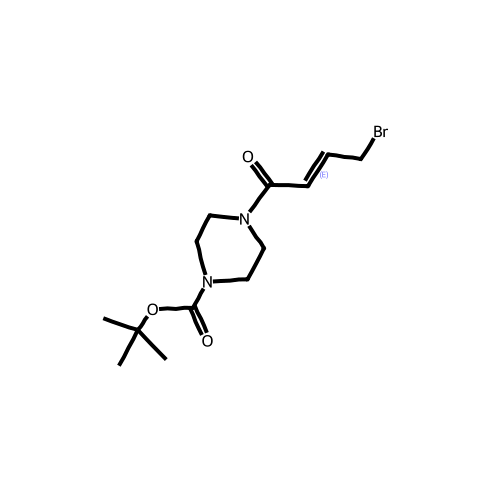 CC(C)(C)OC(=O)N1CCN(C(=O)/C=C/CBr)CC1